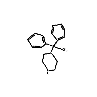 CC(c1ccccc1)(c1ccccc1)N1CCNCC1